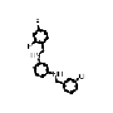 Fc1ccc(CNc2cccc(NCc3cccc(Cl)c3)c2)c(F)c1